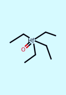 C[CH2][Hf](=[O])([CH2]C)([CH2]C)[CH2]C